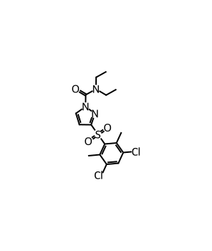 CCN(CC)C(=O)n1ccc(S(=O)(=O)c2c(C)c(Cl)cc(Cl)c2C)n1